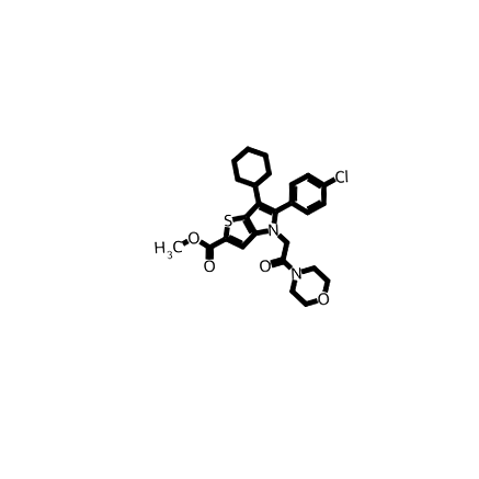 COC(=O)c1cc2c(s1)c(C1CCCCC1)c(-c1ccc(Cl)cc1)n2CC(=O)N1CCOCC1